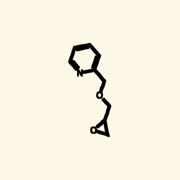 c1ccc(COCC2CO2)nc1